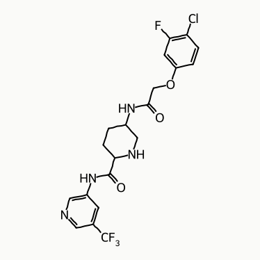 O=C(COc1ccc(Cl)c(F)c1)NC1CCC(C(=O)Nc2cncc(C(F)(F)F)c2)NC1